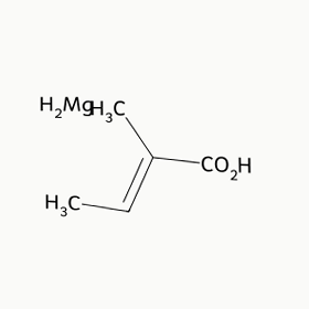 CC=C(C)C(=O)O.[MgH2]